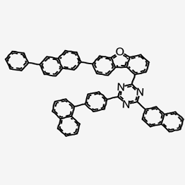 c1ccc(-c2ccc3cc(-c4ccc5c(c4)oc4cccc(-c6nc(-c7ccc(-c8cccc9ccccc89)cc7)nc(-c7ccc8ccccc8c7)n6)c45)ccc3c2)cc1